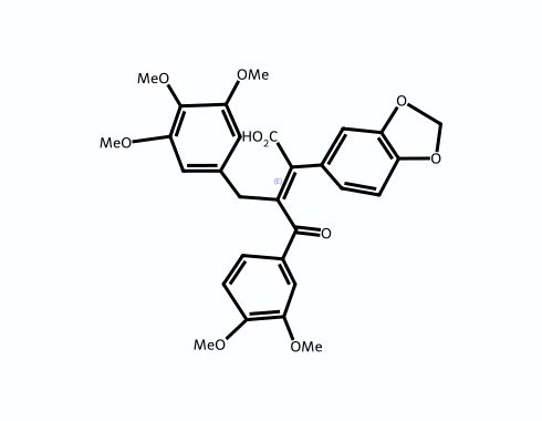 COc1ccc(C(=O)/C(Cc2cc(OC)c(OC)c(OC)c2)=C(/C(=O)O)c2ccc3c(c2)OCO3)cc1OC